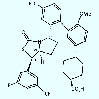 COc1ccc([C@H]2CC[C@H](C(=O)O)CC2)cc1-c1ccc(C(F)(F)F)cc1[C@@H]1CC[C@H]2[C@@H](c3cc(F)cc(C(F)(F)F)c3)SC(=O)N12